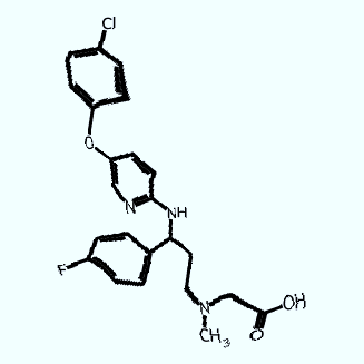 CN(CCC(Nc1ccc(Oc2ccc(Cl)cc2)cn1)c1ccc(F)cc1)CC(=O)O